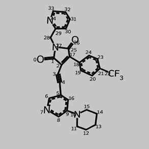 O=C1C(C#Cc2cncc(N3CCCCC3)c2)=C(c2ccc(C(F)(F)F)cc2)C(=O)N1Cc1ccccn1